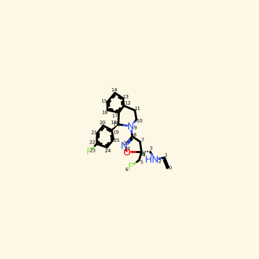 C=CNC[C@@]1(CF)CC(N2CCc3ccccc3[C@@H]2c2ccc(F)cc2)=NO1